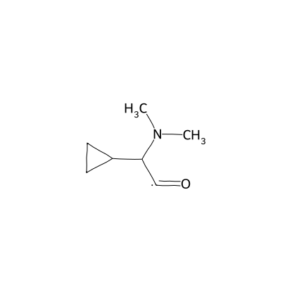 CN(C)C([C]=O)C1CC1